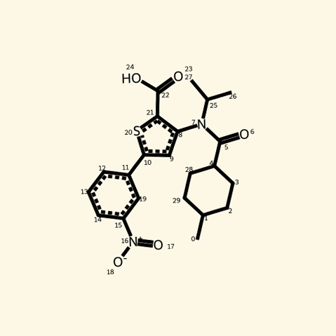 CC1CCC(C(=O)N(c2cc(-c3cccc([N+](=O)[O-])c3)sc2C(=O)O)C(C)C)CC1